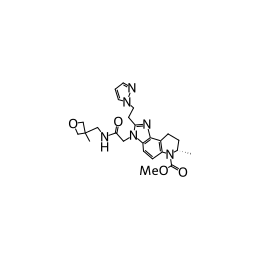 COC(=O)N1c2ccc3c(nc(CCn4cccn4)n3CC(=O)NCC3(C)COC3)c2CC[C@@H]1C